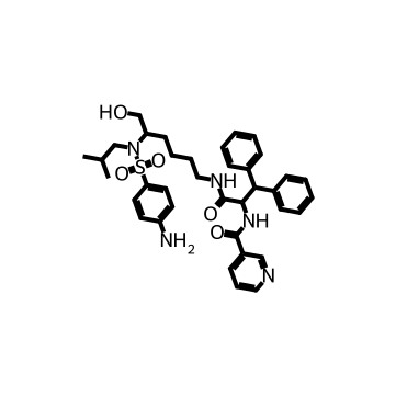 CC(C)CN(C(CO)CCCCNC(=O)C(NC(=O)c1cccnc1)C(c1ccccc1)c1ccccc1)S(=O)(=O)c1ccc(N)cc1